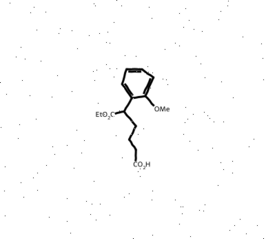 CCOC(=O)C(CCCC(=O)O)c1ccccc1OC